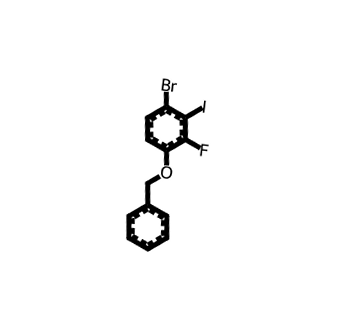 Fc1c(OCc2ccccc2)ccc(Br)c1I